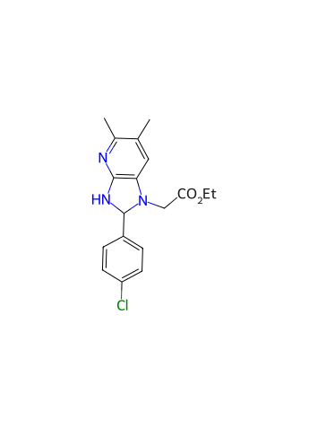 CCOC(=O)CN1c2cc(C)c(C)nc2NC1c1ccc(Cl)cc1